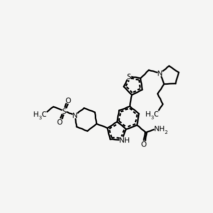 CCCC1CCCN1Cc1cc(-c2cc(C(N)=O)c3[nH]cc(C4CCN(S(=O)(=O)CC)CC4)c3c2)cs1